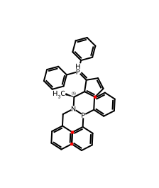 C[C@@H](C1=CC=CC1=[PH](c1ccccc1)c1ccccc1)N(Cc1ccccc1)P(c1ccccc1)c1ccccc1